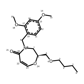 CCCCOC[C@@H]1CN(Cc2ccc(OC)cc2OC)C(=O)C=CO1